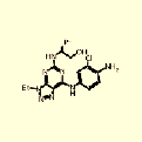 CCn1nnc2c(Nc3ccc(N)c(Cl)c3)nc(NC(CO)C(C)C)nc21